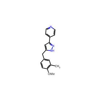 COc1ccc(Cc2cc(-c3ccncc3)n[nH]2)cc1C